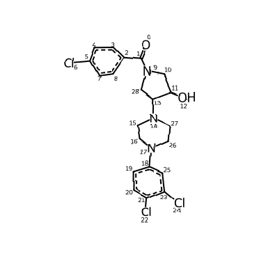 O=C(c1ccc(Cl)cc1)N1CC(O)C(N2CCN(c3ccc(Cl)c(Cl)c3)CC2)C1